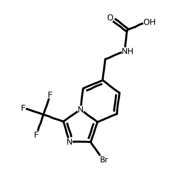 O=C(O)NCc1ccc2c(Br)nc(C(F)(F)F)n2c1